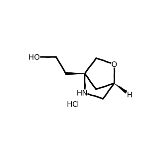 Cl.OCC[C@]12CO[C@H](CN1)C2